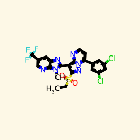 CCS(=O)(=O)c1nn2c(-c3cc(Cl)cc(Cl)c3)ccnc2c1-c1nc2cc(C(F)(F)F)cnc2n1C